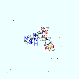 CCS(=O)(=O)c1ccc(Oc2cc3[nH]c(-c4cnccn4)nc3cc2C(=O)OC)cc1